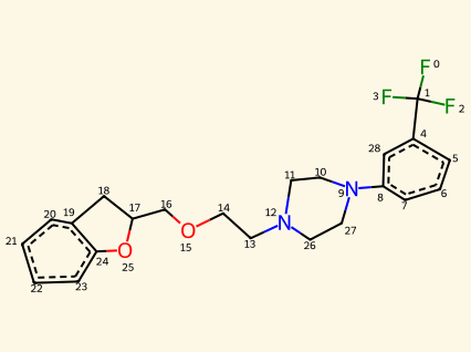 FC(F)(F)c1cccc(N2CCN(CCOCC3Cc4ccccc4O3)CC2)c1